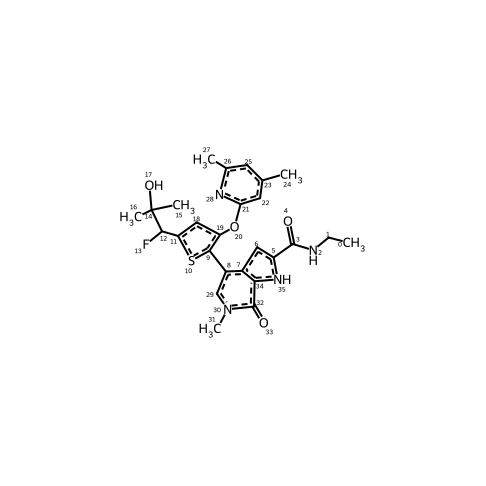 CCNC(=O)c1cc2c(-c3sc(C(F)C(C)(C)O)cc3Oc3cc(C)cc(C)n3)cn(C)c(=O)c2[nH]1